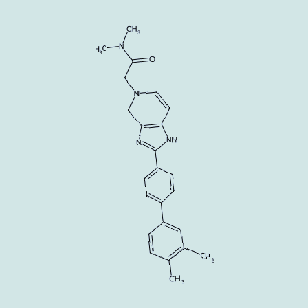 Cc1ccc(-c2ccc(-c3nc4c([nH]3)C=CN(CC(=O)N(C)C)C4)cc2)cc1C